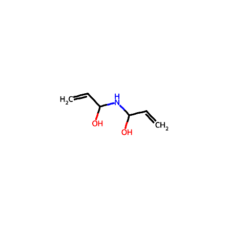 C=CC(O)NC(O)C=C